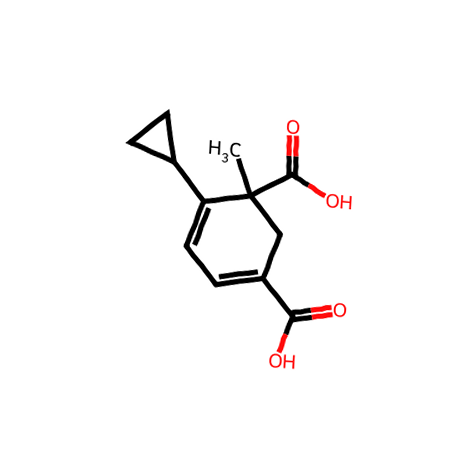 CC1(C(=O)O)CC(C(=O)O)=CC=C1C1CC1